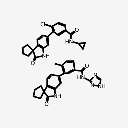 Cc1ccc(C(=O)Nc2nc[nH]n2)cc1-c1ccc2c(c1)NC(=O)C21CCCC1.O=C(NC1CC1)c1ccc(Cl)c(-c2ccc3c(c2)NC(=O)C32CCCC2)c1